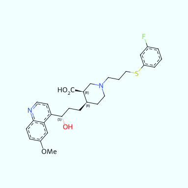 COc1ccc2nccc([C@@H](O)CC[C@@H]3CCN(CCCSc4cccc(F)c4)C[C@@H]3C(=O)O)c2c1